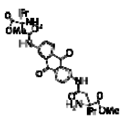 COC(=O)[C@@](N)(CC(=O)Nc1ccc2c(c1)C(=O)c1ccc(NC(=O)C[C@](N)(C(=O)OC)C(C)C)cc1C2=O)C(C)C